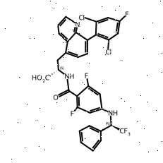 O=C(N[C@@H](Cc1ccc(-c2c(Cl)cc(F)cc2Cl)c2ncccc12)C(=O)O)c1c(F)cc(N[C@H](c2ccccc2)C(F)(F)F)cc1F